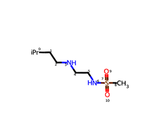 CC(C)CCNCCNS(C)(=O)=O